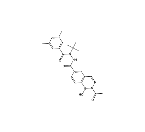 CC(=O)N1N=Cc2cc(C(=O)NN(C(=O)c3cc(C)cc(C)c3)C(C)(C)C)ccc2B1O